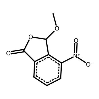 COC1OC(=O)c2cccc([N+](=O)[O-])c21